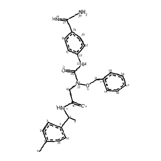 Cc1ccc(C(C)NC(=O)CN(OCc2ccccc2)C(=O)Nc2ccc(C(=N)N)cc2)cc1